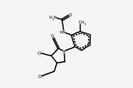 Cc1cccc(N2CC(CCl)C(Cl)C2=O)c1NC(N)=O